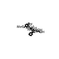 COCc1ccc(OC(F)(F)F)c(CNC(=O)Nc2c(C)c(OCC(O)CO)nn2-c2ccccc2)c1